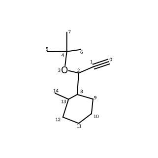 C#CC(OC(C)(C)C)C1CCCCC1C